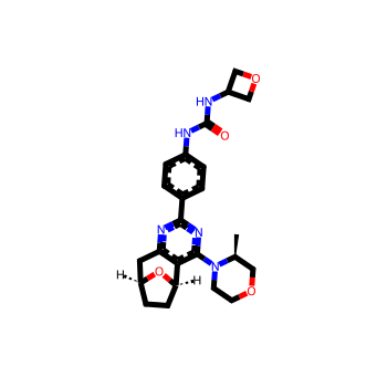 C[C@H]1COCCN1c1nc(-c2ccc(NC(=O)NC3COC3)cc2)nc2c1[C@H]1CC[C@@H](C2)O1